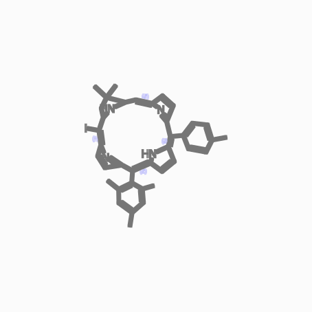 Cc1ccc(/C2=c3\cc/c([nH]3)=C(\c3c(C)cc(C)cc3C)C3=N/C(=C(/I)C4CC(C)(C)C(/C=C5/C=CC2=N5)N4)C=C3)cc1